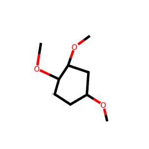 COC1C[CH]C(OC)C(OC)C1